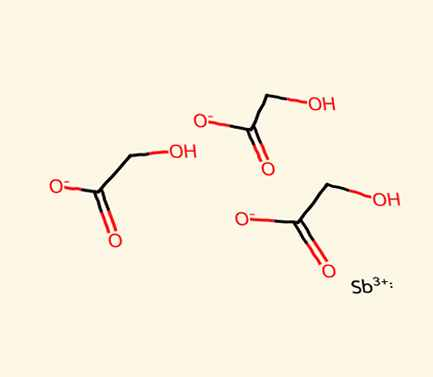 O=C([O-])CO.O=C([O-])CO.O=C([O-])CO.[Sb+3]